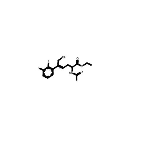 CCOC(=O)C(C/C=C(\CO)c1cccc(F)c1F)NC(C)=O